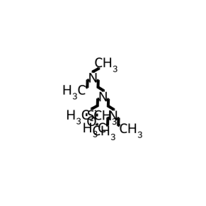 CCCN(CCC)CCCN(CCCN(CCC)CCC)CCC[Si](C)(C)OCC